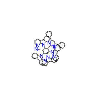 N#Cc1c(-n2c3ccccc3c3cccnc32)c(-c2nc(-c3ccccc3)cc(-c3ccccc3)n2)c(-n2c3ccccc3c3cccnc32)c(-n2c3ccccc3c3cccnc32)c1-n1c2ccccc2c2cccnc21